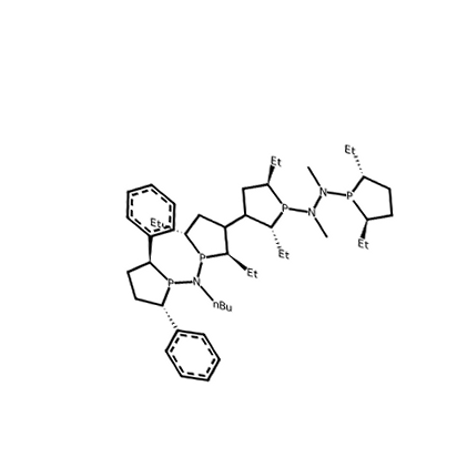 CCCCN(P1[C@H](CC)CC(C2C[C@@H](CC)P(N(C)N(C)P3[C@H](CC)CC[C@H]3CC)[C@@H]2CC)[C@H]1CC)P1[C@H](c2ccccc2)CC[C@H]1c1ccccc1